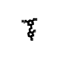 Cc1cc(O)nc(SCc2ccc(Cl)nc2Cl)n1